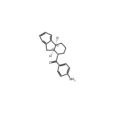 Nc1ccc(C(=O)N2CCC[C@@H]3c4ccccc4C[C@@H]32)cc1